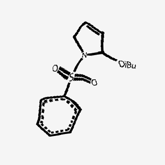 CC(C)COC1C=CCN1S(=O)(=O)c1ccccc1